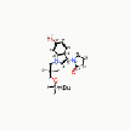 CC(C)(CO[Si](C)(C)C(C)(C)C)Cn1cc(N2CCCC2=O)c2ccc(Br)cc21